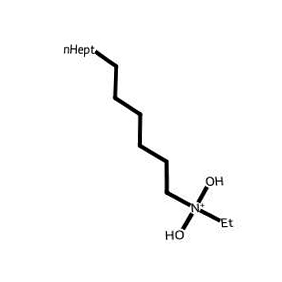 CCCCCCCCCCCCC[N+](O)(O)CC